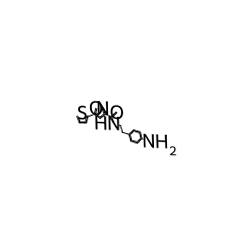 Nc1ccc(CCNC(=O)c2cc(-c3cccs3)on2)cc1